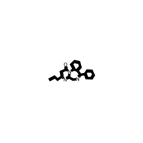 C=CCc1cc(=O)n2c(n1)CN=C(c1ccccc1)c1ccccc1-2